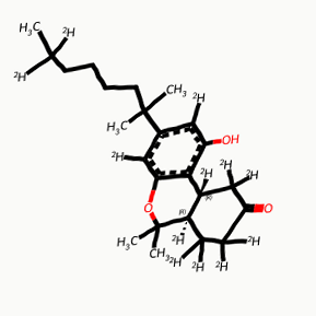 [2H]c1c(O)c2c(c([2H])c1C(C)(C)CCCCC([2H])([2H])C)OC(C)(C)[C@]1([2H])C([2H])([2H])C([2H])([2H])C(=O)C([2H])([2H])[C@@]21[2H]